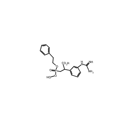 N=C(N)Nc1cccc(C(CP(=O)(OO)OCCc2ccccc2)C(=O)O)c1